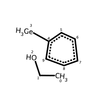 CCO.[GeH3][c]1ccccc1